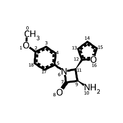 COc1ccc(N2C(=O)[C@H](N)[C@@H]2c2ccco2)cc1